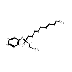 CCCCCCCCCCC(O)(OCC)Oc1ccccc1